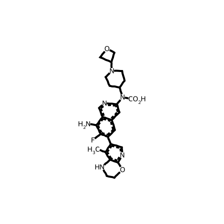 Cc1c(-c2cc3cc(N(C(=O)O)C4CCN(C5COC5)CC4)ncc3c(N)c2F)cnc2c1NCCO2